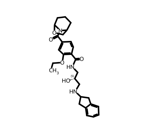 CCOc1cc(C(=O)N2C3CCCC2OC3)ccc1C(=O)NC[C@@H](O)CNC1Cc2ccccc2C1